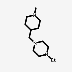 CCN1CCN(CC2CCN(C)CC2)CC1